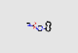 CCNC(=O)ON1CCN(c2cccc3ccccc23)CC1